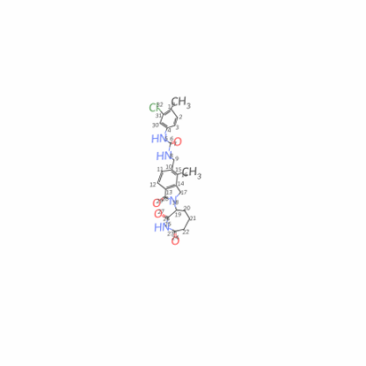 Cc1ccc(NC(=O)NCc2ccc3c(c2C)CN(C2CCCC(=O)NC2=O)C3=O)cc1Cl